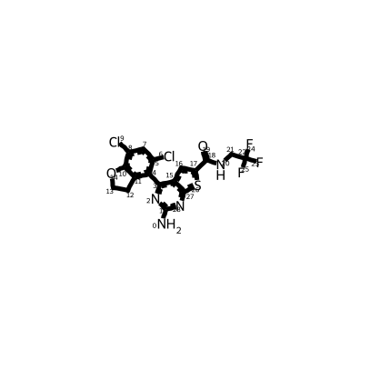 Nc1nc(-c2c(Cl)cc(Cl)c3c2CCO3)c2cc(C(=O)NCC(F)(F)F)sc2n1